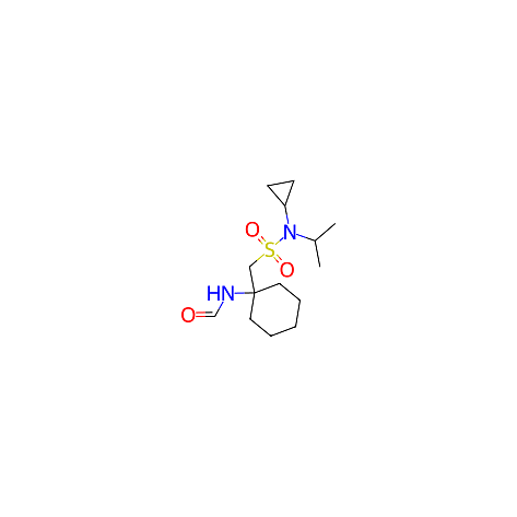 CC(C)N(C1CC1)S(=O)(=O)CC1(NC=O)CCCCC1